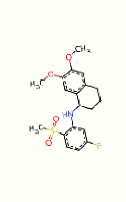 COc1cc2c(cc1OC)C(Nc1cc(F)ccc1S(C)(=O)=O)CCC2